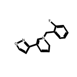 Fc1ccccc1CN1C=C(c2ccon2)C=CC1